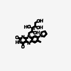 Cc1cc2nc3c(=O)[nH]c(=O)nc-3n(C[C@H](O)[C@H](O)[C@H](O)CO)c2cc1N1CCCC1